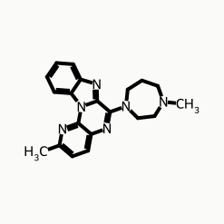 Cc1ccc2nc(N3CCCN(C)CC3)c3nc4ccccc4n3c2n1